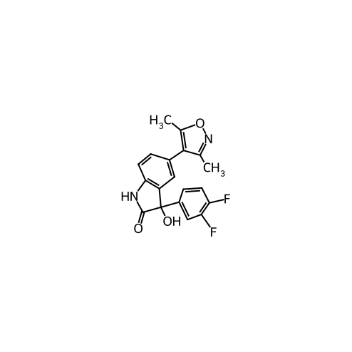 Cc1noc(C)c1-c1ccc2c(c1)C(O)(c1ccc(F)c(F)c1)C(=O)N2